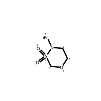 CC(C)N1CCOCS1(=O)=O